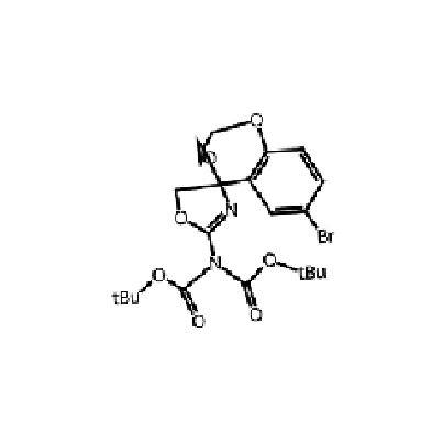 CC(C)(C)OC(=O)N(C(=O)OC(C)(C)C)C1=NC2(CO1)c1cc(Br)ccc1OCC21CCCO1